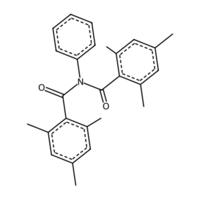 Cc1cc(C)c(C(=O)N(C(=O)c2c(C)cc(C)cc2C)c2ccccc2)c(C)c1